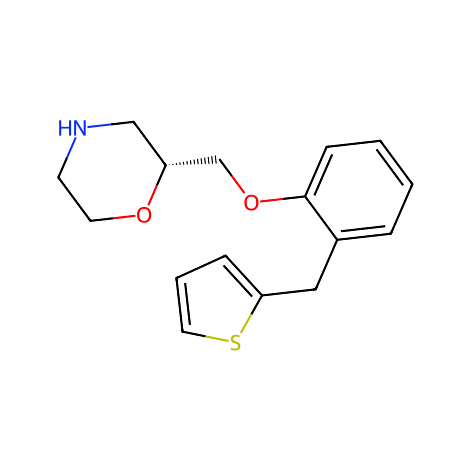 c1csc(Cc2ccccc2OC[C@H]2CNCCO2)c1